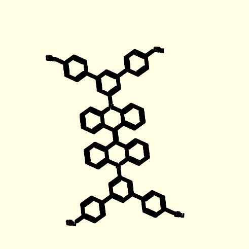 CC(C)(C)c1ccc(-c2cc(-c3ccc(C(C)(C)C)cc3)cc(N3c4ccccc4C(=C4c5ccccc5N(c5cc(-c6ccc(C(C)(C)C)cc6)cc(-c6ccc(C(C)(C)C)cc6)c5)c5ccccc54)c4ccccc43)c2)cc1